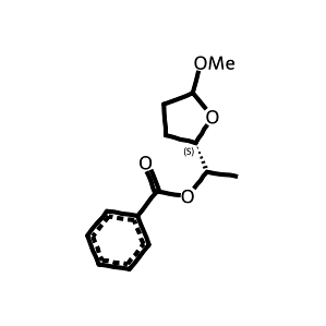 COC1CC[C@@H](C(C)OC(=O)c2ccccc2)O1